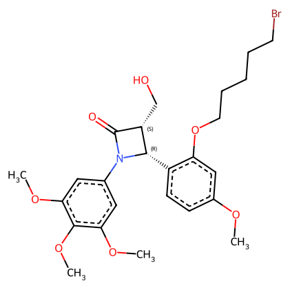 COc1ccc([C@H]2[C@@H](CO)C(=O)N2c2cc(OC)c(OC)c(OC)c2)c(OCCCCCBr)c1